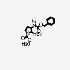 CCCCC1C(NC(=O)OCc2ccccc2)CCN1C(=O)OC(C)(C)C